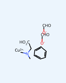 CN(C)CC(=O)O.O=C[O-].O=C[O-].[Cu+2].c1ccccc1